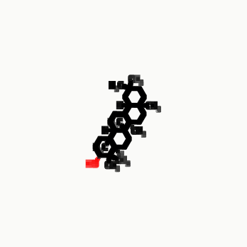 CC1(C)CC[C@]2(C)CC[C@]3(C)C(=CC[C@@H]4[C@@]5(C)CC[C@@H](O)C(C)(C)[C@@H]5CC[C@]43C)[C@@H]2C1